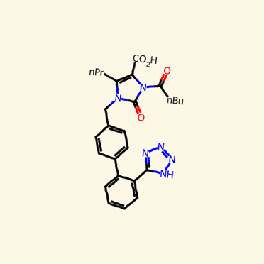 CCCCC(=O)n1c(C(=O)O)c(CCC)n(Cc2ccc(-c3ccccc3-c3nnn[nH]3)cc2)c1=O